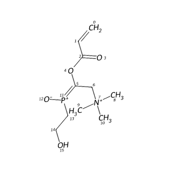 C=CC(=O)O/C(C[N+](C)(C)C)=[P+](\[O-])CCO